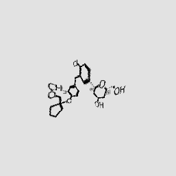 COCC1(Oc2ccc(Cc3cc([C@H]4CC(O)C[C@@H](CO)O4)ccc3Cl)cc2)CCCC1